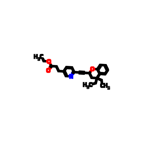 CCOC(=O)CCc1ccc(C#CC2CC(CC)(CC)c3ccccc3O2)nc1